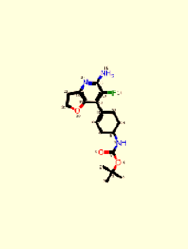 CC(C)(C)OC(=O)NC1CC=C(c2c(F)c(N)nc3c2OCC3)CC1